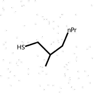 CCCCC(C)CS